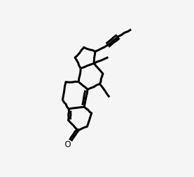 CC#CC1CCC2C3CCC4=CC(=O)CCC4=C3C(C)CC12C